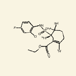 [2H]C1=C(C(=O)OCC)[C@]([2H])(S(=O)(=O)Nc2ccc(F)cc2Cl)C([2H])([2H])CC1